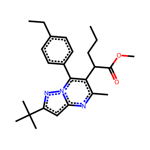 CCCC(C(=O)OC)c1c(C)nc2cc(C(C)(C)C)nn2c1-c1ccc(CC)cc1